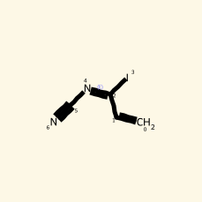 C=C/C(I)=N\C#N